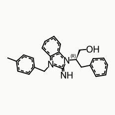 Cc1ccc(Cn2c(=N)n([C@@H](CO)Cc3ccccc3)c3ccccc32)cc1